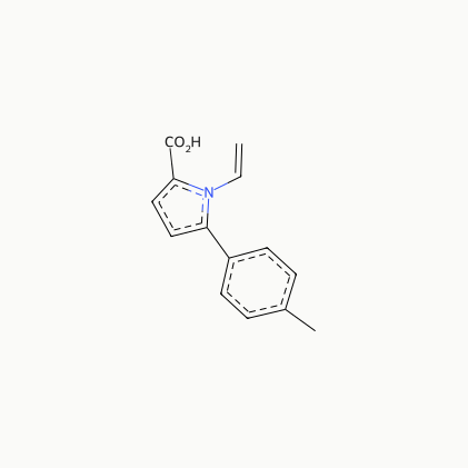 C=Cn1c(C(=O)O)ccc1-c1ccc(C)cc1